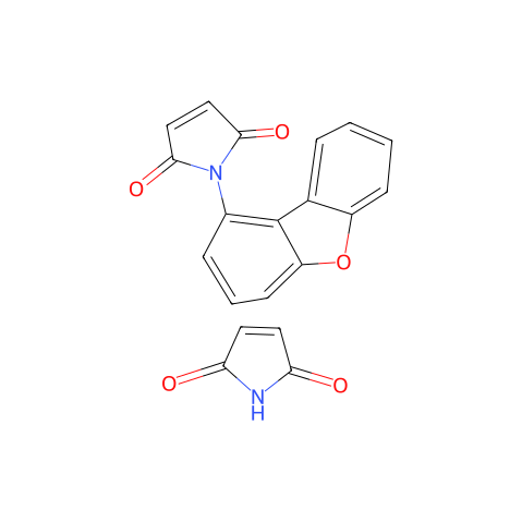 O=C1C=CC(=O)N1.O=C1C=CC(=O)N1c1cccc2oc3ccccc3c12